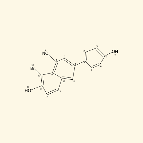 N#Cc1cc(-c2ccc(O)cc2)cc2ccc(O)c(Br)c12